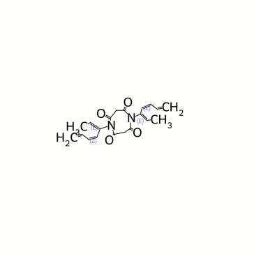 C=C/C=C\C(=C/C)N1C(=O)CC(=O)N(C(/C=C\C=C)=C/C)C(=O)CC1=O